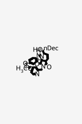 CCCCCCCCCC[C@@H](O)[C@H]1C=CC2C(=O)N(Cc3ccccn3)C(=O)[C@H]2N1Nc1ccc(S(C)(=O)=O)cc1